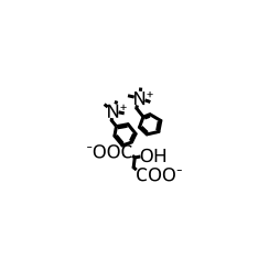 C[N+](C)(C)Cc1ccccc1.C[N+](C)(C)Cc1ccccc1.O=C([O-])CC(O)C(=O)[O-]